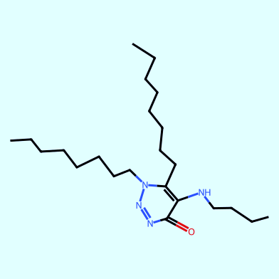 CCCCCCCCc1c(NCCCC)c(=O)nnn1CCCCCCCC